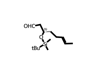 CC=CCC[C@@H](CC=O)O[Si](C)(C)C(C)(C)C